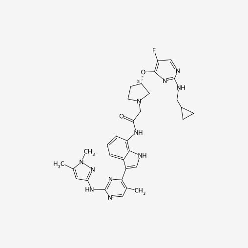 Cc1cnc(Nc2cc(C)n(C)n2)nc1-c1c[nH]c2c(NC(=O)CN3CC[C@H](Oc4nc(NCC5CC5)ncc4F)C3)cccc12